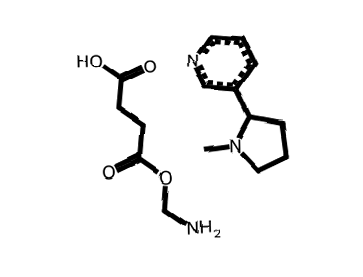 CN1CCCC1c1cccnc1.NCOC(=O)CCC(=O)O